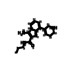 CCCNC(=O)c1nc2c(C3=CCCNC3)cccn2c1N